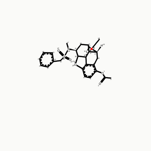 CC(=O)Oc1ccc2c3c1C[C@@H]1[C@@H]4CC[C@H](N(C)S(=O)(=O)Cc5ccccc5)[C@H](O2)[C@]34CCN1C